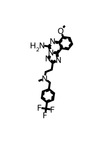 COc1cccc2c1nc(N)n1nc(CCN(C)Cc3ccc(C(F)(F)F)cc3)nc21